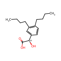 CCCCc1ccc([C@@H](O)C(=O)O)cc1CCCC